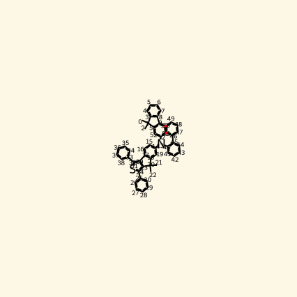 CC1(C)c2ccccc2-c2ccc(N(c3ccc4c(c3)C(C)(C)c3c(-c5ccccc5)sc(-c5ccccc5)c3-4)c3ccccc3-c3ccccc3)cc21